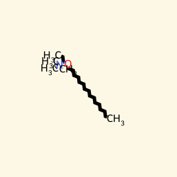 CCCCCCCCCCCCCCCCOC(CC)[N+](C)(C)C